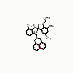 CCC(C)(Pc1c(C)cccc1CN(Cc1ccccc1)Cc1ccccc1)c1cc(C)cc(C(C)(C)C)c1OCOC